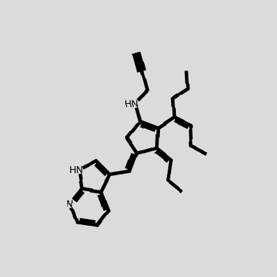 C#CCNC1=C(/C(=C\CC)CCC)C(=C/CC)/C(=C/c2c[nH]c3ncccc23)C1